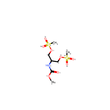 CC(C)(C)OC(=O)NC(COS(C)(=O)=O)COS(C)(=O)=O